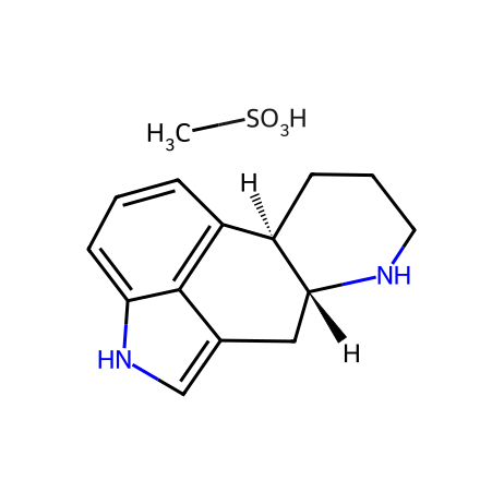 CS(=O)(=O)O.c1cc2c3c(c[nH]c3c1)C[C@H]1NCCC[C@H]21